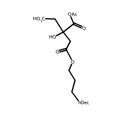 CCCCCCCCCCCCCOC(=O)CC(O)(CC(=O)O)C(=O)OC(C)=O